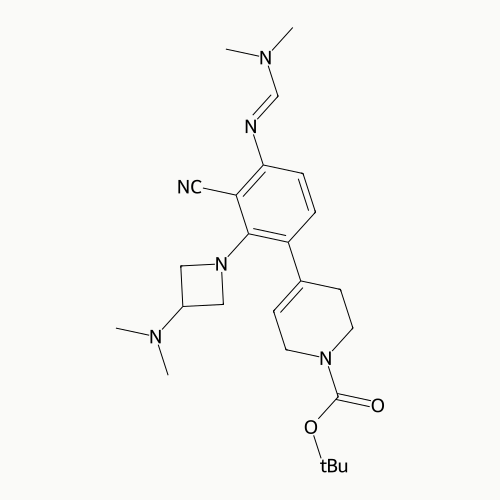 CN(C)/C=N/c1ccc(C2=CCN(C(=O)OC(C)(C)C)CC2)c(N2CC(N(C)C)C2)c1C#N